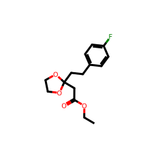 CCOC(=O)CC1(CCc2ccc(F)cc2)OCCO1